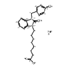 O=C([O-])CCCCCCCn1c(=O)n(Cc2ccc(Cl)cc2)c2ccccc21.[Na+]